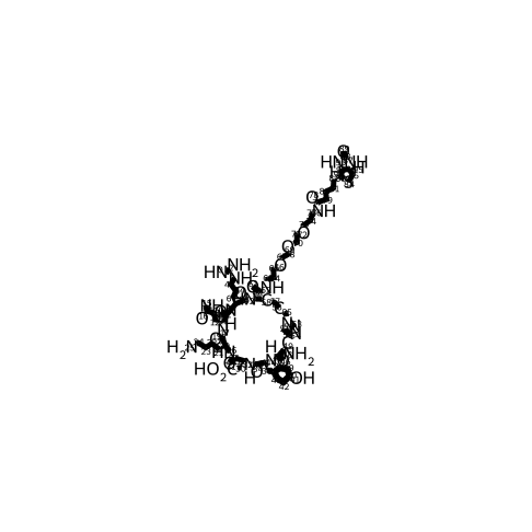 N=C(N)NCCC[C@@H]1NC(=O)[C@H](CCC(N)=O)NC(=O)[C@H](CCCCN)NC(=O)[C@H](CC(=O)O)NC(=O)[C@H](Cc2ccc(O)cc2)NC(=O)[C@@H](N)Cc2cn(nn2)CCCC[C@@H](C(=O)NCCCOCCOCCOCCCNC(=O)CCCC[C@H]2SC[C@H]3NC(=O)N[C@H]32)NC1=O